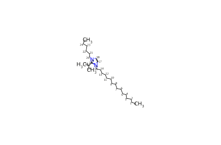 CCCCCCCCCCCCCCCCn1cc[n+](CCCCCC)c1C(C)C